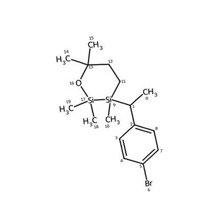 CC(c1ccc(Br)cc1)[Si]1(C)CCC(C)(C)O[Si]1(C)C